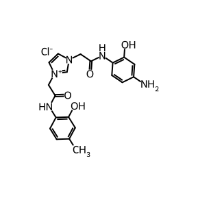 Cc1ccc(NC(=O)C[n+]2ccn(CC(=O)Nc3ccc(N)cc3O)c2)c(O)c1.[Cl-]